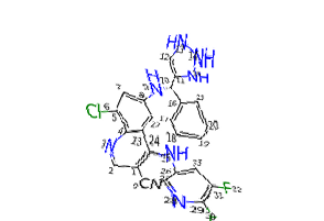 N#Cc1cnc2c(Cl)cc(N[C@H](C3=CNNN3)c3ccccc3)cc2c1Nc1cnc(F)c(F)c1